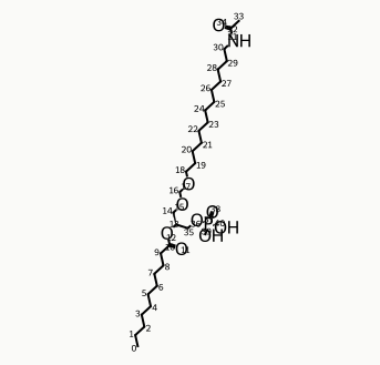 CCCCCCCCCCC(=O)O[C@@H](COCOCCCCCCCCCCCCCNC(C)=O)COP(=O)(O)O